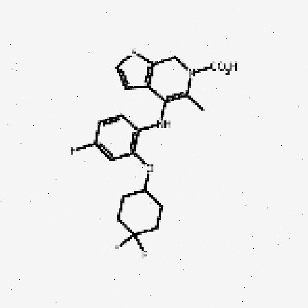 CC1=C(Nc2ccc(F)cc2OC2CCC(F)(F)CC2)c2ccsc2CN1C(=O)O